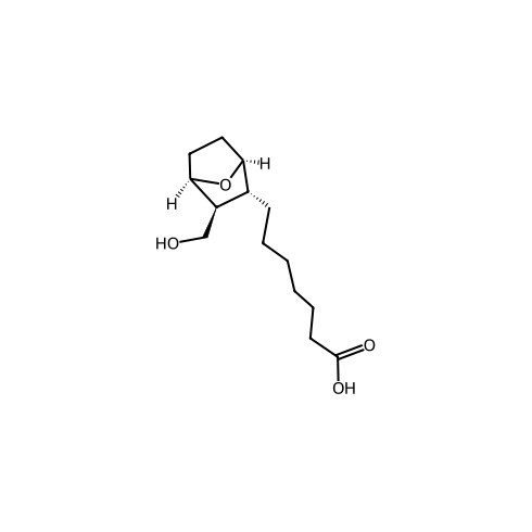 O=C(O)CCCCCC[C@@H]1[C@@H](CO)[C@H]2CC[C@@H]1O2